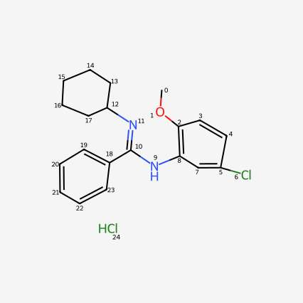 COc1ccc(Cl)cc1NC(=NC1CCCCC1)c1ccccc1.Cl